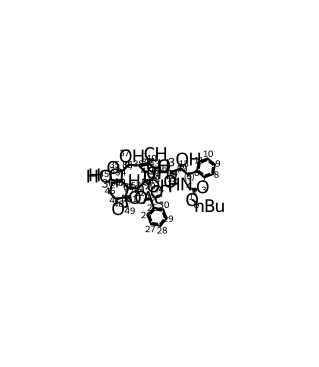 CCCCOC(=O)N[C@@H](c1ccccc1)[C@@H](O)C(=O)O[C@H]1C[C@@]2(O)[C@@H](OC(=O)c3ccccc3)[C@H]3[C@](C)(C(=O)[C@H](O)C(=C1C)C2(C)C)[C@@H](O)CC1OC[C@]13OC(C)=O